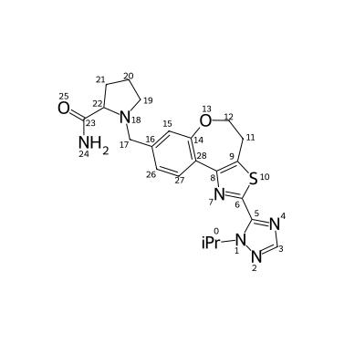 CC(C)n1ncnc1-c1nc2c(s1)CCOc1cc(CN3CCCC3C(N)=O)ccc1-2